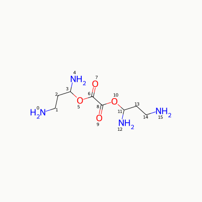 NCCC(N)OC(=O)C(=O)OC(N)CCN